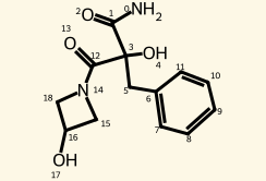 NC(=O)C(O)(Cc1ccccc1)C(=O)N1CC(O)C1